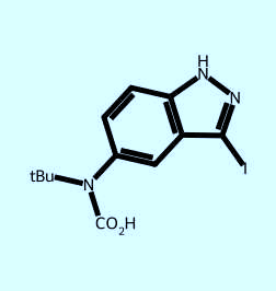 CC(C)(C)N(C(=O)O)c1ccc2[nH]nc(I)c2c1